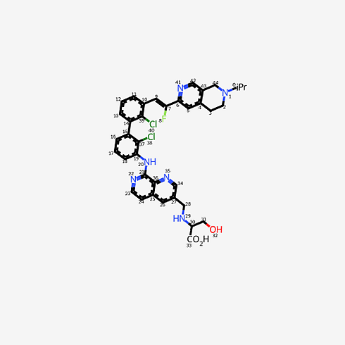 CC(C)N1CCc2cc(/C(F)=C/c3cccc(-c4cccc(Nc5nccc6cc(CNC(CO)C(=O)O)cnc56)c4Cl)c3Cl)ncc2C1